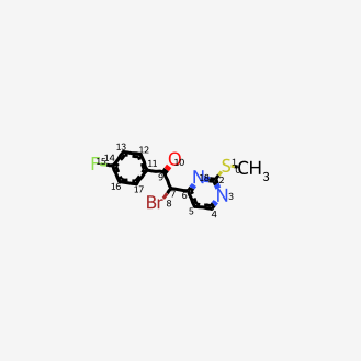 CSc1nccc(C(Br)C(=O)c2ccc(F)cc2)n1